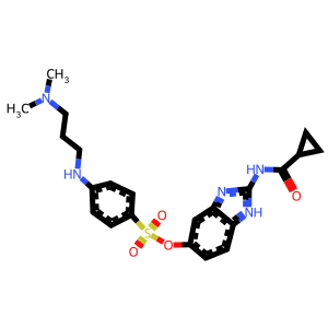 CN(C)CCCNc1ccc(S(=O)(=O)Oc2ccc3[nH]c(NC(=O)C4CC4)nc3c2)cc1